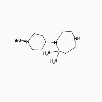 BC1(B)CCNCCN1C1CCN([C@H](C)CC)CC1